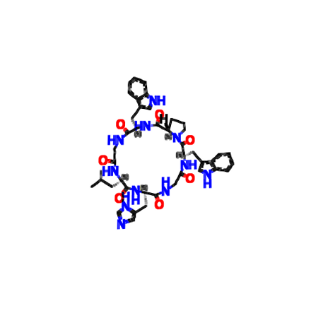 CC(C)C[C@@H]1NC(=O)CNC(=O)[C@H](Cc2c[nH]c3ccccc23)NC(=O)[C@@H]2CCCN2C(=O)[C@H](Cc2c[nH]c3ccccc23)NC(=O)CNC(=O)[C@H](Cc2cnc[nH]2)NC1=O